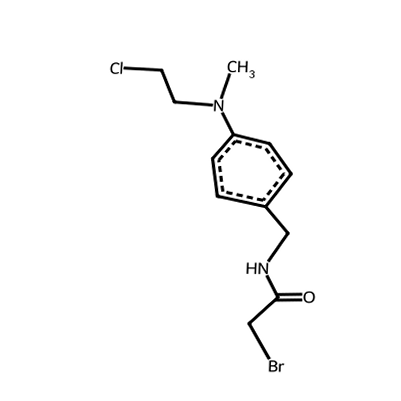 CN(CCCl)c1ccc(CNC(=O)CBr)cc1